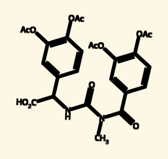 CC(=O)Oc1ccc(C(=O)N(C)C(=O)NC(C(=O)O)c2ccc(OC(C)=O)c(OC(C)=O)c2)cc1OC(C)=O